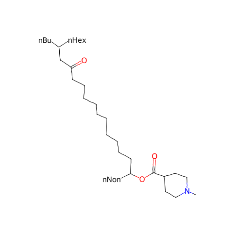 CCCCCCCCCC(CCCCCCCCCCC(=O)CC(CCCC)CCCCCC)OC(=O)C1CCN(C)CC1